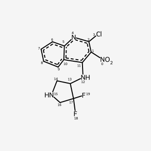 O=[N+]([O-])c1c(Cl)nc2ccccc2c1NC1CNCC1(F)F